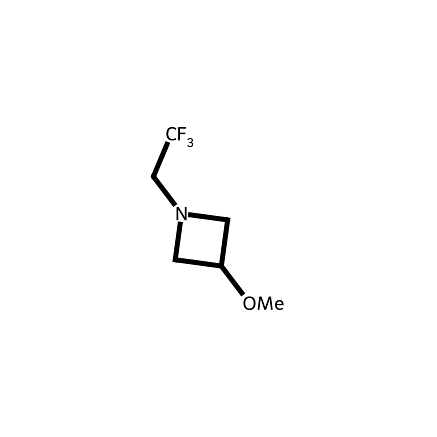 COC1CN(CC(F)(F)F)C1